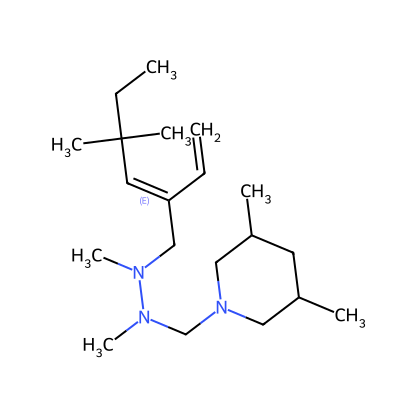 C=C/C(=C\C(C)(C)CC)CN(C)N(C)CN1CC(C)CC(C)C1